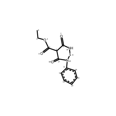 CCOC(=O)C1C(=O)NSN(c2ccccc2)C1=O